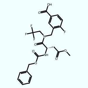 COC(=O)C[C@H](NC(=O)OCc1ccccc1)C(=O)N(Cc1cc(C(=O)O)ccc1F)CC(F)(F)F